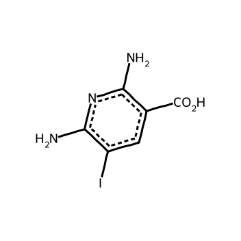 Nc1nc(N)c(C(=O)O)cc1I